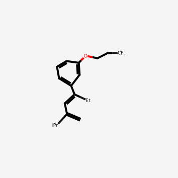 C=C(/C=C(\CC)c1cccc(OCCC(F)(F)F)c1)C(C)C